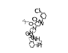 CC(C)c1cccc(CS(=O)(=O)N2CCN(c3cnn(-c4cccc(Cl)c4)c(=O)c3OCC3(C)CC3)CC2)c1N